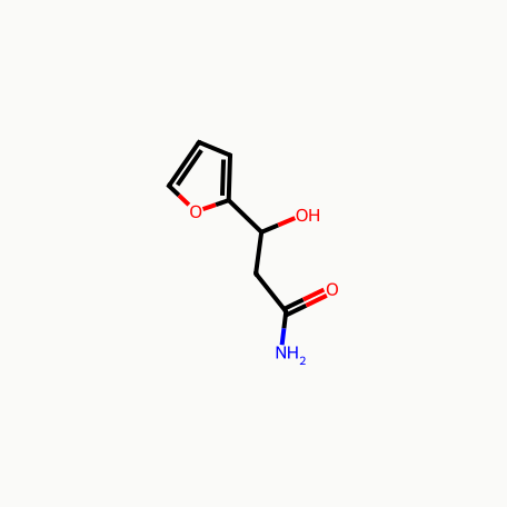 NC(=O)CC(O)c1ccco1